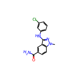 Cn1nc(Nc2cccc(Cl)c2)c2cc(C(N)=O)ccc21